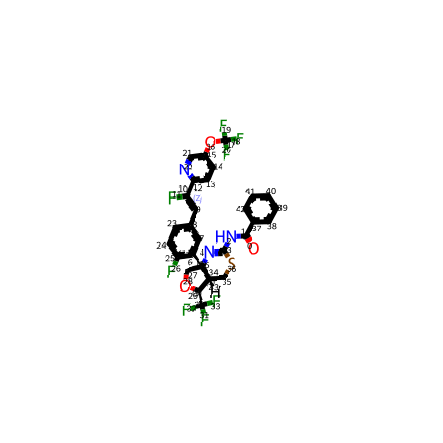 O=C(NC1=N[C@@]2(c3cc(/C=C(\F)c4ccc(OC(F)(F)F)cn4)ccc3F)CO[C@H](C(F)(F)F)[C@H]2CS1)c1ccccc1